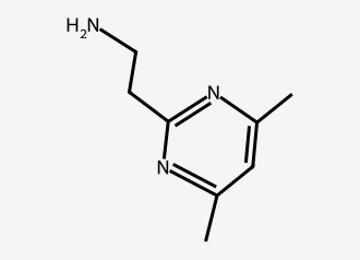 Cc1cc(C)nc(CCN)n1